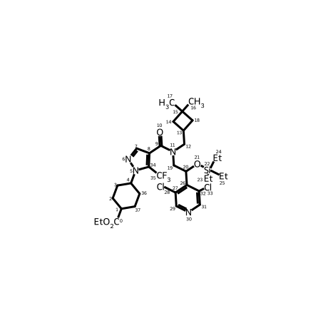 CCOC(=O)C1CCC(n2ncc(C(=O)N(CC3CC(C)(C)C3)CC(O[Si](CC)(CC)CC)c3c(Cl)cncc3Cl)c2C(F)(F)F)CC1